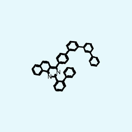 c1ccc(-c2cccc(-c3cccc(-c4ccc(-c5nc(-c6ccccc6-c6ccccc6)nc6c5ccc5ccccc56)cc4)c3)c2)cc1